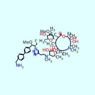 CC[C@H]1OC(=O)[C@H](C)[C@@H](C2C[C@@](C)(OC)[C@@H](O)[C@H](C)O2)[C@H](C)[C@@H](O[C@@H]2O[C@H](C)C[C@H](N(C)CCc3cn([C@H](CF)[C@H](OC)c4ccc(-c5ccc(CN)cc5)cc4)nn3)[C@H]2O)[C@](C)(O)C[C@@H](C)CN(C)[C@H](C)[C@@H](O)[C@]1(C)O